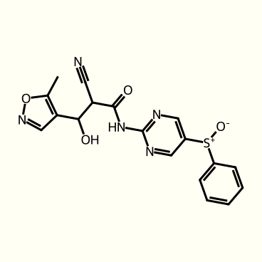 Cc1oncc1C(O)C(C#N)C(=O)Nc1ncc([S+]([O-])c2ccccc2)cn1